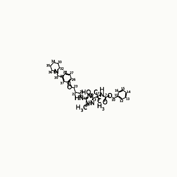 Cn1nc(C(C)(NC(=O)OCc2ccccc2)C(=O)O)nc1NCCCOc1cccc(CN2CCCCC2)c1